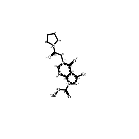 CC(C)(C)OC(=O)n1nc(Br)c2c(=O)n(CC(=O)N3CCCC3)cnc21